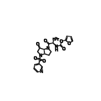 CCCC(NC(=O)Oc1ccco1)C(=O)N1CCC2C1C(=O)CN2S(=O)(=O)c1cccnc1